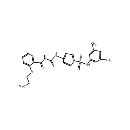 COCCOc1ccccc1C(=O)NC(=S)Nc1ccc(S(=O)(=O)Nc2cc(C)cc(C)c2)cc1